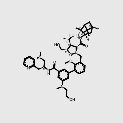 COc1c(CN2O[C@@H](CO)[C@@H]([C@H](C)O)[C@H]2C(=O)N[C@H]2C[C@H]3CC([C@@H]2C)C3(C)C)cccc1-c1cc(C(=O)N[C@@H](Cc2ccccn2)CN(C)C)cc(N(C)CCO)c1